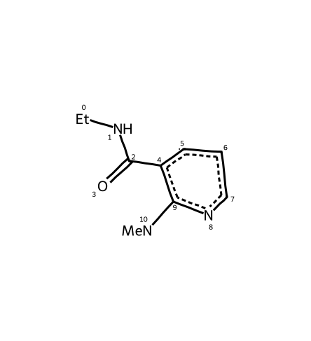 CCNC(=O)c1[c]ccnc1NC